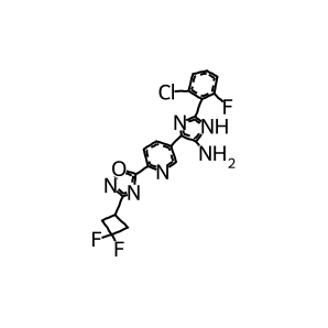 Nc1[nH]c(-c2c(F)cccc2Cl)nc1-c1ccc(-c2nc(C3CC(F)(F)C3)no2)nc1